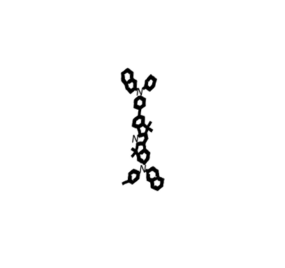 Cc1ccc(N(c2ccc3c(c2)C(C)(C)c2nc4c(cc2-3)C(C)(C)c2cc(-c3ccc(N(c5ccccc5)c5ccc6ccccc6c5)cc3)ccc2-4)c2ccc3ccccc3c2)cc1